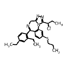 CCCSc1ccc2c(c1)-n1c(nnc1C(Cl)CC)CN=C2c1ccc(CC)cc1CC